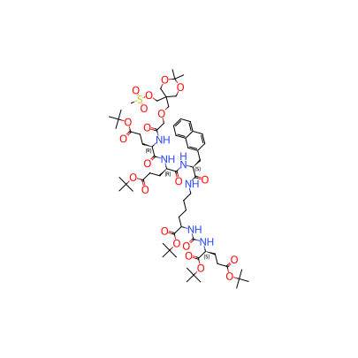 CC(C)(C)OC(=O)CC[C@H](NC(=O)NC(CCCCNC(=O)[C@H](Cc1ccc2ccccc2c1)NC(=O)[C@@H](CCC(=O)OC(C)(C)C)NC(=O)[C@@H](CCC(=O)OC(C)(C)C)NC(=O)COCC1(COS(C)(=O)=O)COC(C)(C)OC1)C(=O)OC(C)(C)C)C(=O)OC(C)(C)C